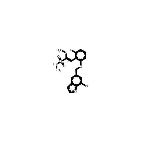 CNS(=O)(=O)/C(=C/c1c(F)cccc1OCc1cc(Br)c2occc2c1)SC